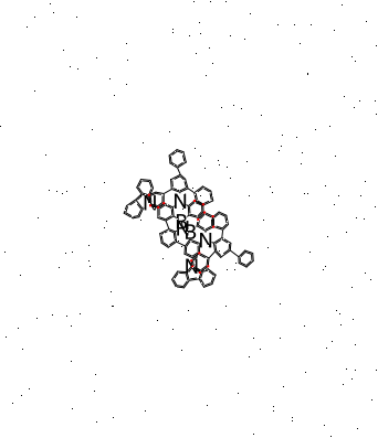 c1ccc(-c2cc(-c3ccccc3)c(N3c4ccccc4B4c5c(cc(-n6c7ccccc7c7ccccc76)cc53)-c3cccc5c3N4B3c4ccccc4N(c4c(-c6ccccc6)cc(-c6ccccc6)cc4-c4ccccc4)c4cc(-n6c7ccccc7c7ccccc76)cc-5c43)c(-c3ccccc3)c2)cc1